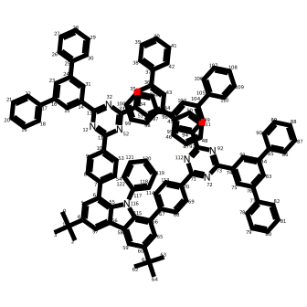 CC(C)(C)c1cc(-c2ccc(-c3nc(-c4cc(-c5ccccc5)cc(-c5ccccc5)c4)nc(-c4cc(-c5ccccc5)cc(-c5ccccc5)c4)n3)cc2)c2c(c1)c1cc(C(C)(C)C)cc(-c3ccc(-c4nc(-c5cc(-c6ccccc6)cc(-c6ccccc6)c5)nc(-c5cc(-c6ccccc6)cc(-c6ccccc6)c5)n4)cc3)c1n2-c1ccccc1